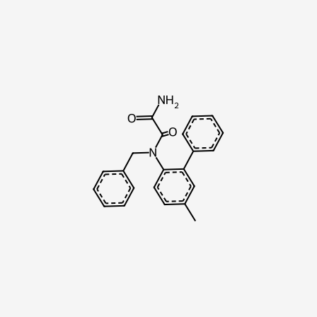 Cc1ccc(N(Cc2ccccc2)C(=O)C(N)=O)c(-c2ccccc2)c1